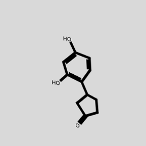 O=C1CCC(c2ccc(O)cc2O)C1